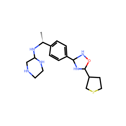 C[C@@H](NC1CNCCN1)c1ccc(C2NOC(C3CCSC3)N2)cc1